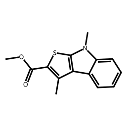 COC(=O)c1sc2c(c1C)c1ccccc1n2C